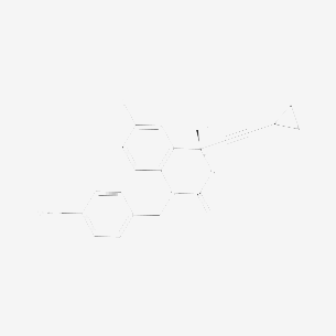 COc1ccc(CN2C(=O)N[C@](C#CC3CC3)(C(F)(F)F)c3cc(Cl)ccc32)cc1